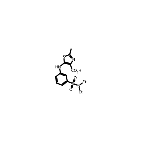 CCN(CC)S(=O)(=O)c1cccc(Nc2sc(C)nc2C(=O)O)c1